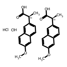 COc1ccc2cc([C@H](C)C(=O)O)ccc2c1.COc1ccc2cc([C@H](C)C(=O)O)ccc2c1.Cl.Cl